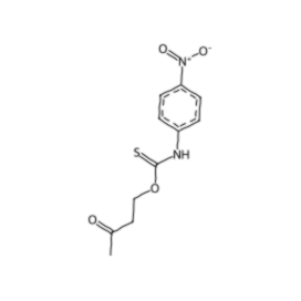 CC(=O)CCOC(=S)Nc1ccc([N+](=O)[O-])cc1